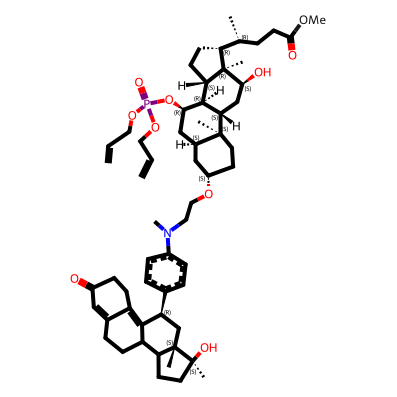 C=CCOP(=O)(OCC=C)O[C@@H]1C[C@@H]2C[C@@H](OCCN(C)c3ccc([C@H]4C[C@@]5(C)C(CC[C@]5(C)O)C5CCC6=CC(=O)CCC6=C54)cc3)CC[C@]2(C)[C@H]2C[C@H](O)[C@]3(C)[C@@H]([C@H](C)CCC(=O)OC)CC[C@H]3[C@H]12